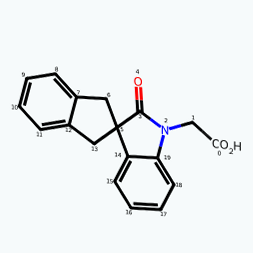 O=C(O)CN1C(=O)C2(Cc3ccccc3C2)c2ccccc21